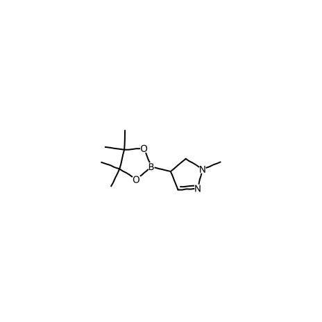 CN1CC(B2OC(C)(C)C(C)(C)O2)C=N1